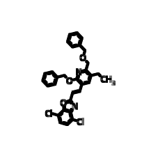 CCc1cc(C=Cc2nc3c(Cl)ccc(Cl)c3o2)c(OCc2ccccc2)nc1COCc1ccccc1